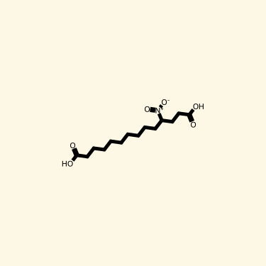 O=C(O)CCCCCCCCCC(CCC(=O)O)[N+](=O)[O-]